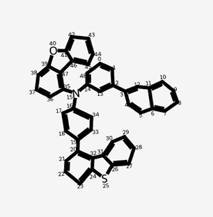 c1cc(-c2ccc3ccccc3c2)cc(N(c2ccc(-c3cccc4sc5ccccc5c34)cc2)c2cccc3oc4ccccc4c23)c1